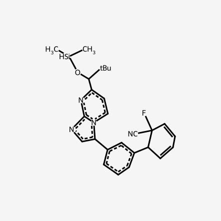 C[SiH](C)OC(c1ccn2c(-c3cccc(C4C=CC=CC4(F)C#N)c3)cnc2n1)C(C)(C)C